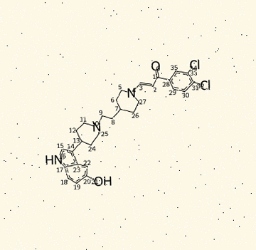 O=C(/C=C/N1CCC(CCN2CCC(c3c[nH]c4ccc(O)cc34)CC2)CC1)c1ccc(Cl)c(Cl)c1